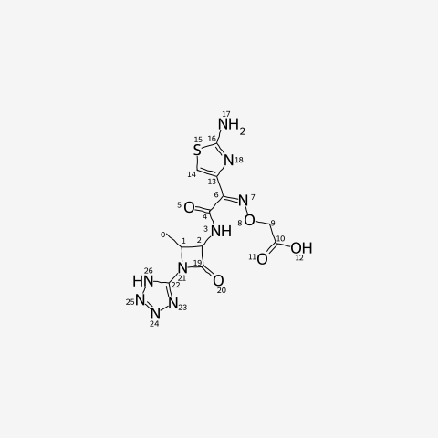 CC1C(NC(=O)C(=NOCC(=O)O)c2csc(N)n2)C(=O)N1c1nnn[nH]1